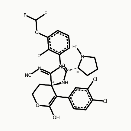 CCN1CCC[C@@H]1C(=O)N[C@]1(C(=NC#N)Nc2cccc(OC(F)F)c2F)CCOC(O)=C1c1ccc(Cl)c(Cl)c1